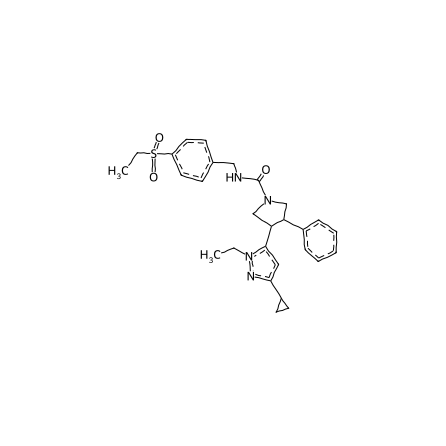 CCn1nc(C2CC2)cc1C1CN(C(=O)NCc2ccc(S(=O)(=O)CC)cc2)CC1c1ccccc1